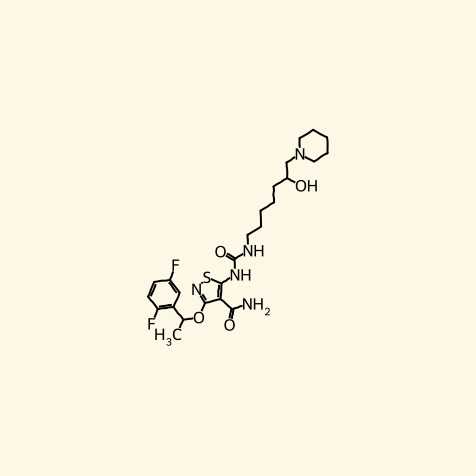 CC(Oc1nsc(NC(=O)NCCCCCC(O)CN2CCCCC2)c1C(N)=O)c1cc(F)ccc1F